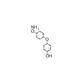 NOc1ccc(Oc2ccc(O)cc2)cc1